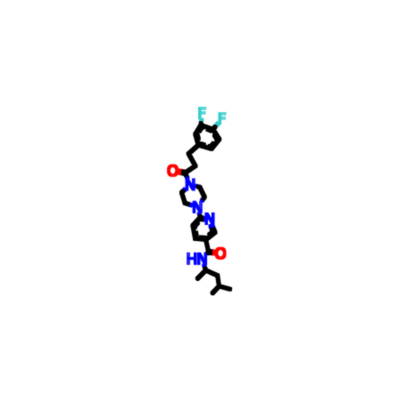 CC(C)CC(C)NC(=O)c1ccc(N2CCN(C(=O)CCc3ccc(F)c(F)c3)CC2)nc1